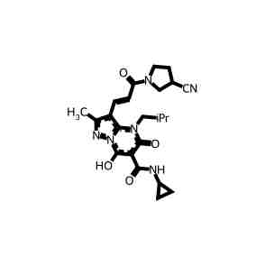 Cc1nn2c(O)c(C(=O)NC3CC3)c(=O)n(CC(C)C)c2c1C=CC(=O)N1CCC(C#N)C1